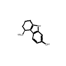 CCCCCCCCCC1CCCc2[nH]c3cc(O)ccc3c21